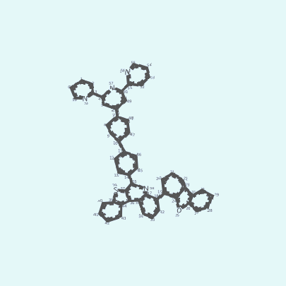 c1ccc(-c2cc(-c3ccc(-c4ccc(-c5nc6c(-c7cccc8c7oc7ccccc78)cccc6c6c5sc5ccccc56)cc4)cc3)cc(-c3ccccn3)n2)nc1